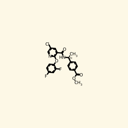 COC(=O)c1ccc([C@H](C)NC(=O)c2cc(Cl)cnc2Oc2ccc(F)cc2F)cc1